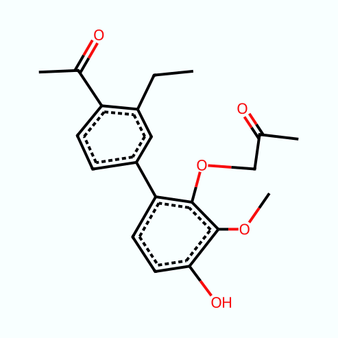 CCc1cc(-c2ccc(O)c(OC)c2OCC(C)=O)ccc1C(C)=O